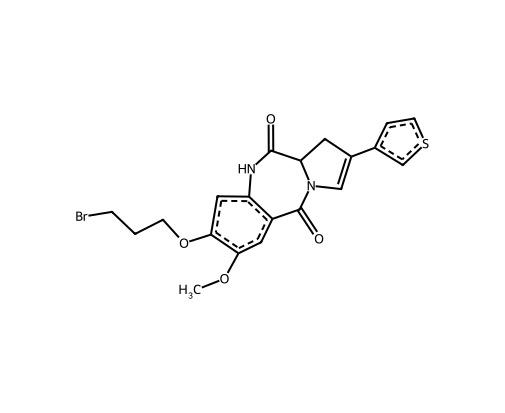 COc1cc2c(cc1OCCCBr)NC(=O)C1CC(c3ccsc3)=CN1C2=O